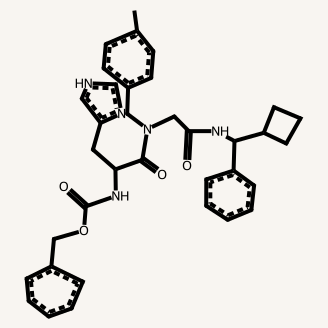 Cc1ccc(CN(CC(=O)NC(c2ccccc2)C2CCC2)C(=O)C(Cc2c[nH]cn2)NC(=O)OCc2ccccc2)cc1